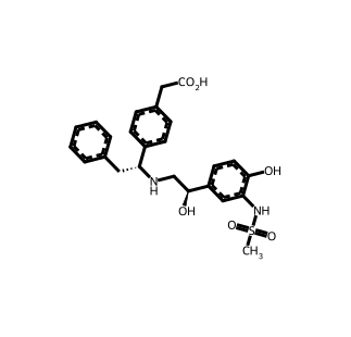 CS(=O)(=O)Nc1cc([C@@H](O)CN[C@H](Cc2ccccc2)c2ccc(CC(=O)O)cc2)ccc1O